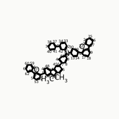 CC1(C)c2ccc(-c3ccc(N(c4ccc(-c5cccc6c5oc5ccccc56)cc4)c4cccc(-c5ccccc5)c4)cc3)cc2-c2ccc(-c3cccc4c3oc3ccccc34)cc21